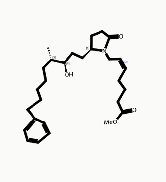 COC(=O)CCC/C=C\CN1C(=O)CC[C@@H]1CC[C@@H](O)[C@@H](C)CCCCCc1ccccc1